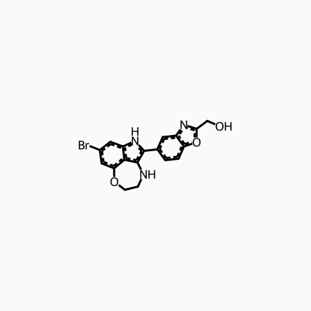 OCc1nc2cc(-c3[nH]c4cc(Br)cc5c4c3NCCO5)ccc2o1